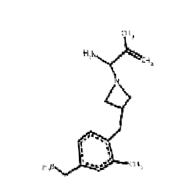 BCc1ccc(CC2CN(C(N)C(=C)C)C2)c(C)c1